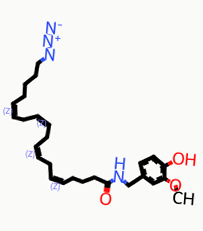 COc1cc(CNC(=O)CCC/C=C\C/C=C\C/C=C\C/C=C\CCCCN=[N+]=[N-])ccc1O